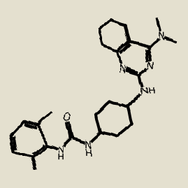 Cc1cccc(C)c1NC(=O)NC1CCC(Nc2nc3c(c(N(C)C)n2)CCCC3)CC1